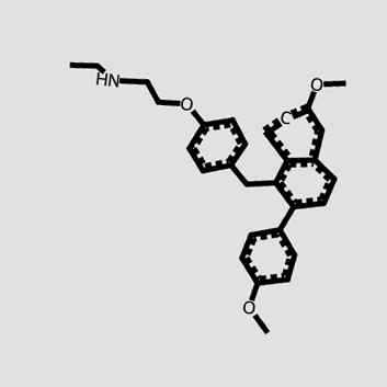 CCNCCOc1ccc(Cc2c(-c3ccc(OC)cc3)ccc3cc(OC)ccc23)cc1